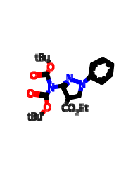 CCOC(=O)C1CN(c2ccccc2)N=C1N(C(=O)OC(C)(C)C)C(=O)OC(C)(C)C